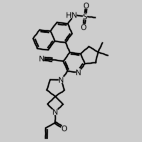 C=CC(=O)N1CC2(CCN(c3nc4c(c(-c5cc(NS(C)(=O)=O)cc6ccccc56)c3C#N)CC(C)(C)C4)C2)C1